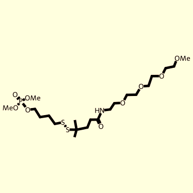 COCCOCCOCCOCCNC(=O)CCC(C)(C)SSCCCCOP(=O)(OC)OC